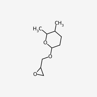 CC1CCC(OCC2CO2)OC1C